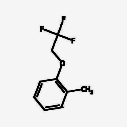 Cc1[c]cccc1OCC(F)(F)F